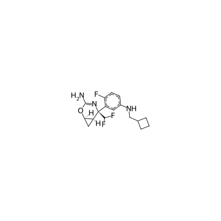 NC1=N[C@@](c2cc(NCC3CCC3)ccc2F)(C(F)F)[C@H]2C[C@H]2O1